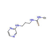 CCNC(=S)NCCCNc1cnccn1